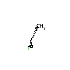 CCCSCCCCCCCCCCC#Cc1cccc(F)c1